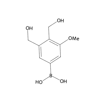 COc1cc(B(O)O)cc(CO)c1CO